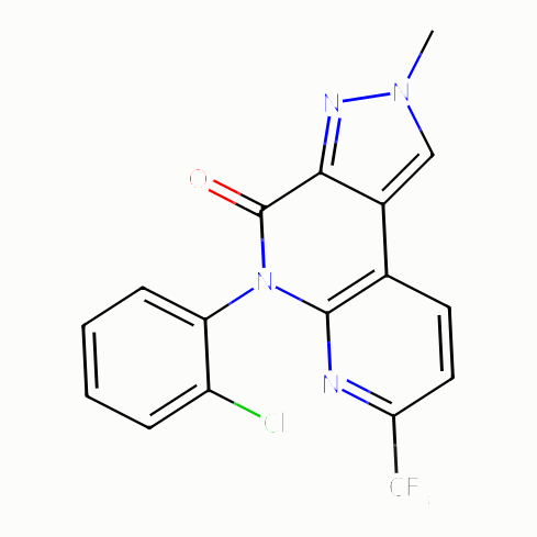 Cn1cc2c(n1)c(=O)n(-c1ccccc1Cl)c1nc(C(F)(F)F)ccc21